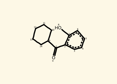 O=C(c1ccccc1O)C1CCCCC1